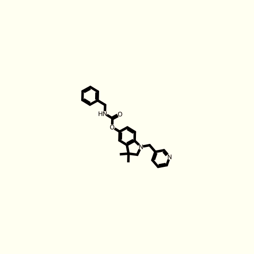 CC1(C)CN(Cc2cccnc2)c2ccc(OC(=O)NCc3ccccc3)cc21